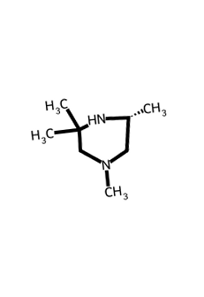 C[C@@H]1CN(C)CC(C)(C)N1